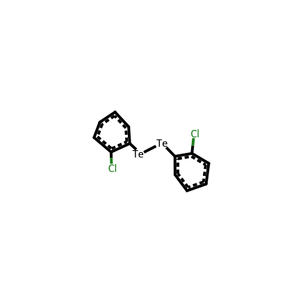 Clc1ccccc1[Te][Te]c1ccccc1Cl